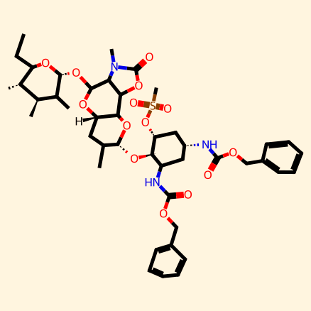 CCC1O[C@H](OC2O[C@H]3CC(C)[C@@H](O[C@@H]4C(NC(=O)OCc5ccccc5)C[C@@H](NC(=O)OCc5ccccc5)C[C@H]4OS(C)(=O)=O)OC3C3OC(=O)N(C)C23)C(C)[C@@H](C)[C@@H]1C